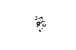 Cc1c(Cc2c(CN3CCC(NC(=O)OC(C)(C)C)CC3)nc3c(C)cc(N4CCOCC4)nn23)cccc1C(F)(F)F